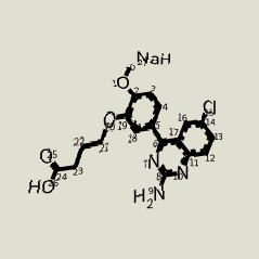 COc1ccc(-c2nc(N)nc3ccc(Cl)cc23)cc1OCCCC(=O)O.[NaH]